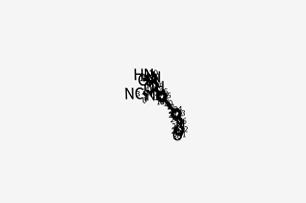 C[C@@H](CC#N)NCC(Cc1nc[nH]c(=O)c1O)c1ccc(C#Cc2ccc(CN3CCOCC3)cc2)cc1